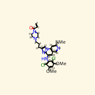 C=CC(=O)N1CCN(CCCc2cn3c(n2)c(Nc2c(Cl)c(OC)cc(OC)c2Cl)cc2cnc(NC)cc23)CC1